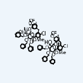 CO[C@@]1(c2ccc(Cl)c(Cc3ccc(OC(F)(F)F)cc3)c2)OC(CO)(CO)[C@@H](OCc2ccccc2)[C@H](OCc2ccccc2)[C@H]1OCc1ccccc1.CO[C@@]1(c2ccc(Cl)c(Cc3ccc(OC(F)(F)F)cc3)c2)O[C@@](C=O)(CO)[C@@H](OCc2ccccc2)[C@H](OCc2ccccc2)[C@H]1OCc1ccccc1